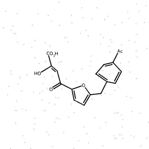 CC(=O)c1ccc(Cc2ccc(C(=O)C=C(O)C(=O)O)o2)cc1